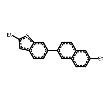 CCc1ccc2cc(-c3ccc4cc(CC)sc4c3)ccc2c1